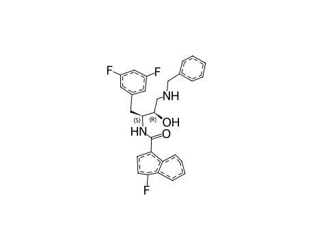 O=C(N[C@@H](Cc1cc(F)cc(F)c1)[C@H](O)CNCc1ccccc1)c1ccc(F)c2ccccc12